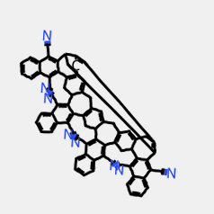 N#Cc1c2c(c(C#N)c3ccccc13)C1CC3=C4C=C1CC1=C2CC2C(=C1)CC1=C(CC5C(=C1)CC1=C(CC(C(=C1)C4)c1c3c(C#N)c3ccccc3c1C#N)c1c5c(C#N)c3ccccc3c1C#N)c1c2c(C#N)c2ccccc2c1C#N